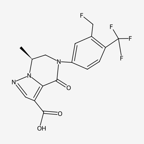 C[C@H]1CN(c2ccc(C(F)(F)F)c(CF)c2)C(=O)c2c(C(=O)O)cnn21